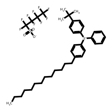 CCCCCCCCCCCCCc1ccc([S+](c2ccccc2)c2ccc(C(C)(C)C)cc2)cc1.O=S(=O)([O-])C(F)(F)C(F)(F)C(F)(F)C(F)(F)F